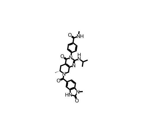 CNC(=O)c1ccc(-n2c(NC(C)C)nc3c(c2=O)C[C@@H](C)N(C(=O)c2ccc4c(c2)[nH]c(=O)n4C)C3)cc1